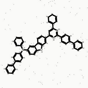 C1=CC(c2cc(-c3ccc4c(c3)oc3ccc(N(c5ccccc5)c5ccc(-c6ccccc6)cc5)cc34)nc(-c3ccc(-c4ccccc4)cc3)n2)=CCC1